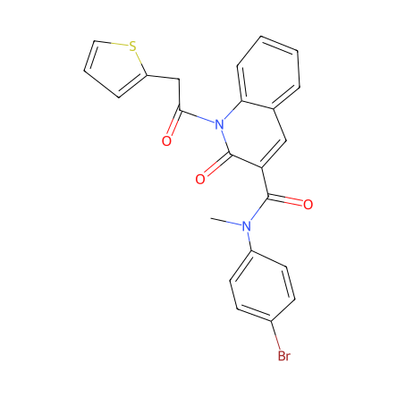 CN(C(=O)c1cc2ccccc2n(C(=O)Cc2cccs2)c1=O)c1ccc(Br)cc1